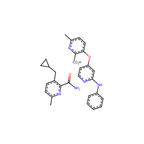 Cc1ccc(CC2CC2)c(C(N)=O)n1.Cc1ccc(Oc2ccnc(Nc3ccccc3)c2)c(C(=O)O)n1